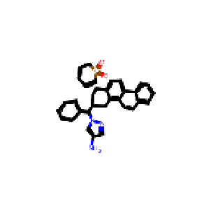 Nc1cnn(C(c2ccccc2)C2CCc3ccc4c(ccc5ccccc54)c3C2)c1.O=S1(=O)C=CC=CC1